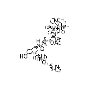 CCCC(=O)OCN(C(=O)[C@@H](NC(=O)C1CCCCN1C)C(C)CC)[C@H](C[C@@H](OC(C)=O)c1nc(C(=O)N[C@H]2Cc3ccc(O)cc3[C@H](C(=O)NNC(=O)OCCSSc3ccccn3)C2)cs1)C(C)C